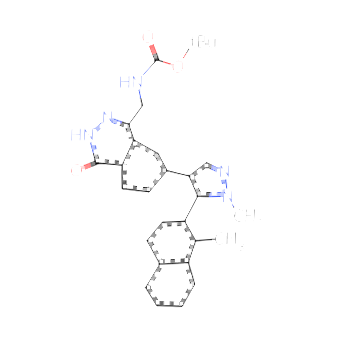 Cc1c(-c2c(-c3ccc4c(=O)[nH]nc(CNC(=O)OC(C)(C)C)c4c3)cnn2C)ccc2ccccc12